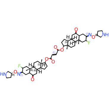 C[C@]12CC(F)/C(=N\O[C@@H]3CCNC3)CC1C(=O)C[C@@H]1[C@H]2CC[C@]2(C)C(OC(=O)/C=C/C(=O)OC3CC[C@H]4[C@@H]5CC(=O)C6C/C(=N/O[C@@H]7CCNC7)C(F)C[C@]6(C)[C@@H]5CC[C@]34C)CC[C@@H]12